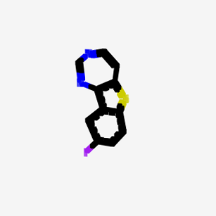 Ic1ccc2sc3c(c2c1)N=CN=C=C3